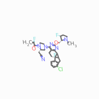 C=C(F)C(=O)N1CCN(c2nc(OC[C@@H]3[C@@H](F)CCN3C)nc3c2CC[C@@]24c5cccc(Cl)c5CC2[C@]34F)C[C@@H]1CC#N